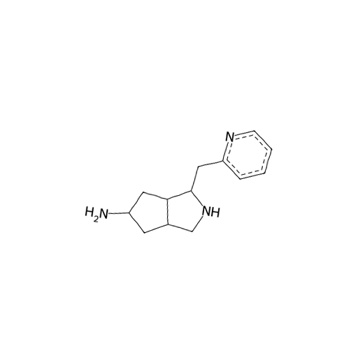 NC1CC2CNC(Cc3ccccn3)C2C1